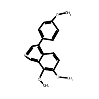 COc1ccc(-c2cncc3c(OC)c(OC)ccc23)cc1